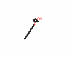 CCCCCCCCCCCCCOc1cccc(O)c1C